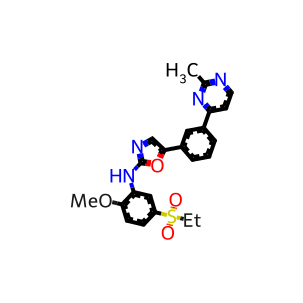 CCS(=O)(=O)c1ccc(OC)c(Nc2ncc(-c3cccc(-c4ccnc(C)n4)c3)o2)c1